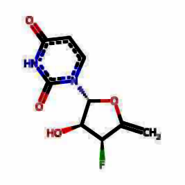 C=C1O[C@@H](n2ccc(=O)[nH]c2=O)[C@H](O)[C@@H]1F